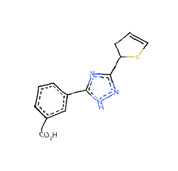 O=C(O)c1cccc(-c2nc(C3CC=CS3)n[nH]2)c1